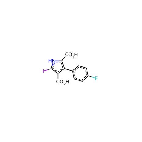 O=C(O)c1[nH]c(I)c(C(=O)O)c1-c1ccc(F)cc1